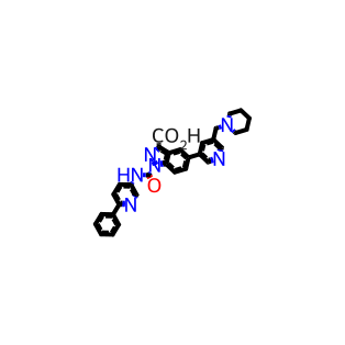 O=C(O)c1nn(C(=O)Nc2ccc(-c3ccccc3)nc2)c2ccc(-c3cncc(CN4CCCCC4)c3)cc12